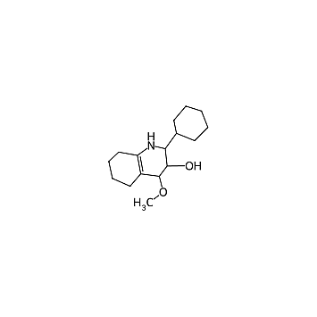 COC1C2=C(CCCC2)NC(C2CCCCC2)C1O